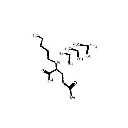 CCCCCNC(CCC(=O)O)C(=O)O.CCO.CCO.CCO.N